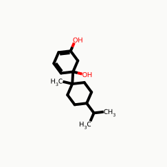 CC(C)C1CCC(C)(C2(O)C=CC=C(O)C2)CC1